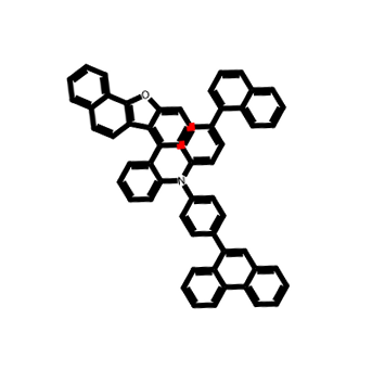 c1ccc(N(c2ccc(-c3cccc4ccccc34)cc2)c2ccc(-c3cc4ccccc4c4ccccc34)cc2)c(-c2cccc3oc4c5ccccc5ccc4c23)c1